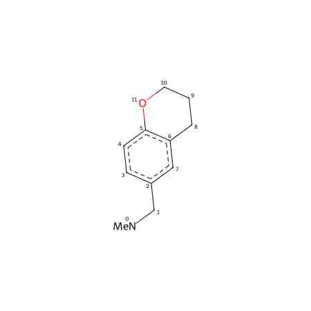 CNCc1ccc2c(c1)CCCO2